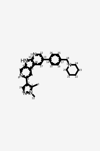 Cc1c(-c2cc3c(cn2)[nH]c2ncc(-c4ccc(CN5CCCCC5)cc4)cc23)cnn1C